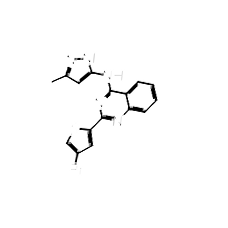 Cc1cc(Nc2nc(-c3cc(Br)cs3)nc3ccccc23)[nH]n1